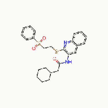 O=C(CC1CCCCC1)Nc1cc2ccccc2nc1SCCS(=O)(=O)c1ccccc1